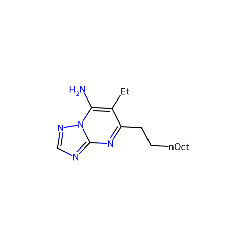 CCCCCCCCCCc1nc2ncnn2c(N)c1CC